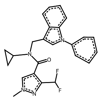 Cn1cc(C(=O)N(Cc2cn(-c3ccccc3)c3ccccc23)C2CC2)c(C(F)F)n1